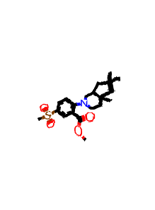 COC(=O)c1cc(S(C)(=O)=O)ccc1N1CCC2(C)CC(C)(C)CC2C1